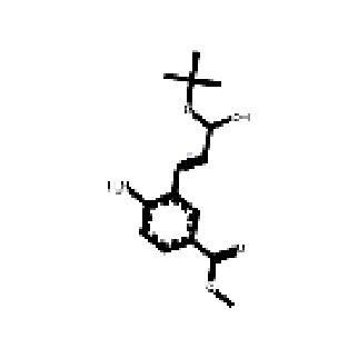 COC(=O)c1ccc(N)c(/C=C/C(O)OC(C)(C)C)c1